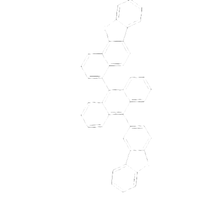 c1ccc2c(c1)oc1ccc(-c3c4ccccc4c(-c4cccc5c4ccc4c6ccccc6sc54)c4ccccc34)cc12